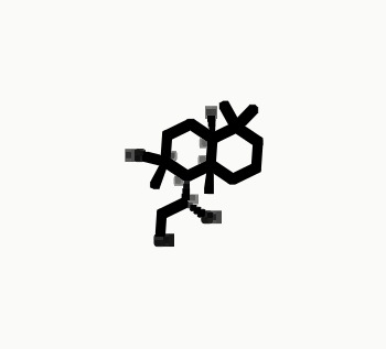 CC1(C)CCC[C@@]2(C)[C@H]1CC[C@@](C)(O)[C@H]2[C@H](O)CO